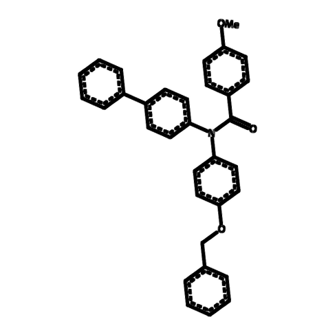 COc1ccc(C(=O)N(c2ccc(OCc3ccccc3)cc2)c2ccc(-c3ccccc3)cc2)cc1